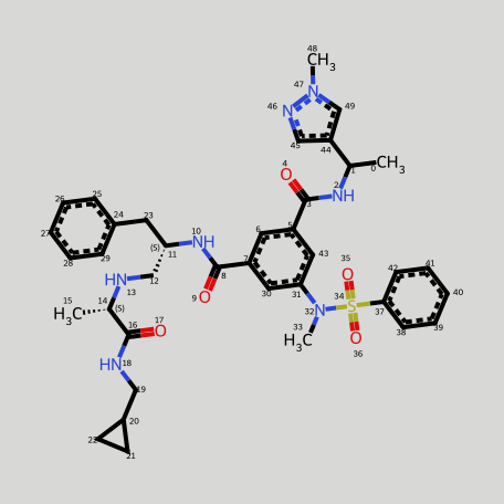 CC(NC(=O)c1cc(C(=O)N[C@H](CN[C@@H](C)C(=O)NCC2CC2)Cc2ccccc2)cc(N(C)S(=O)(=O)c2ccccc2)c1)c1cnn(C)c1